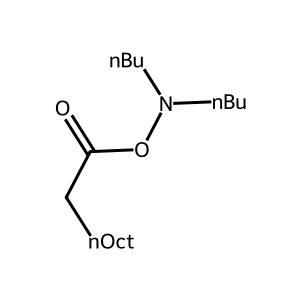 CCCCCCCCCC(=O)ON(CCCC)CCCC